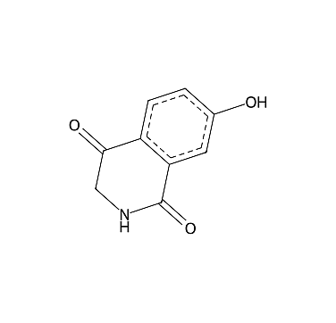 O=C1CNC(=O)c2cc(O)ccc21